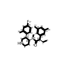 CC[C@@H](C(=O)N(C)[C@@H]1CCNC[C@H]1c1ccc(F)cc1C)c1cc(C)cc(C)c1